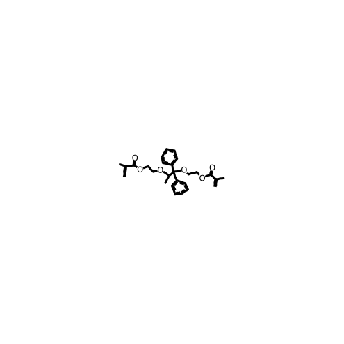 C=C(C)C(=O)OCCOC(C)C(OCCOC(=O)C(=C)C)(c1ccccc1)c1ccccc1